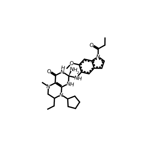 CCC(=O)n1ccc2cc(N[C@@]3(N)NC(=O)C4=C(N3)N(C3CCCC3)C(CC)CN4C)c(OC)cc21